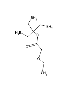 BCC(CB)(CB)OC(=O)COCC